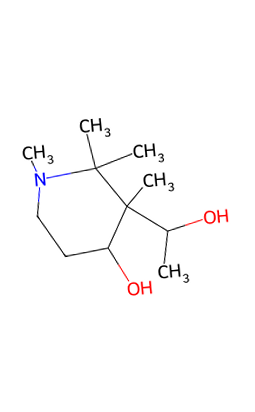 CC(O)C1(C)C(O)CCN(C)C1(C)C